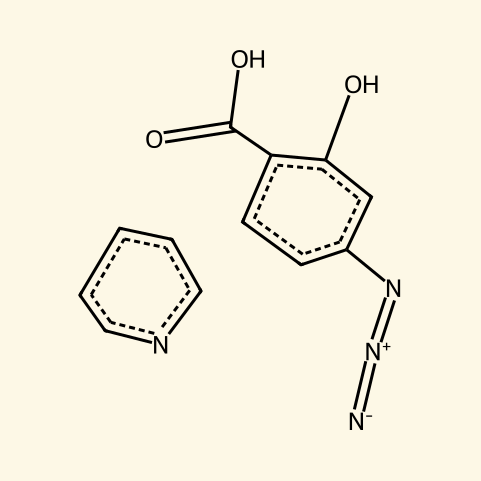 [N-]=[N+]=Nc1ccc(C(=O)O)c(O)c1.c1ccncc1